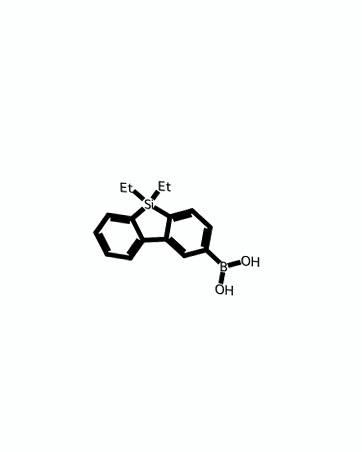 CC[Si]1(CC)c2ccccc2-c2cc(B(O)O)ccc21